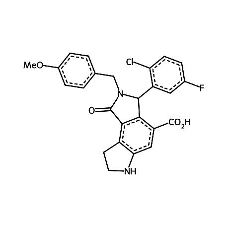 COc1ccc(CN2C(=O)c3c4c(cc(C(=O)O)c3C2c2cc(F)ccc2Cl)NCC4)cc1